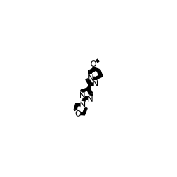 COc1ccc2nc(-c3cnc(N4CCOCC4)nc3)cn2c1